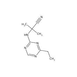 CCc1ncnc(NC(C)(C)C#N)n1